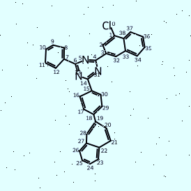 Clc1cc(-c2nc(-c3ccccc3)nc(-c3ccc(-c4ccc5ccccc5c4)cc3)n2)cc2ccccc12